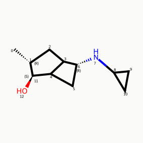 C[C@@H]1CC2C(C[C@H]2NC2CC2)[C@H]1O